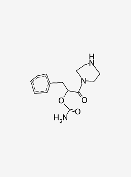 NC(=O)OC(Cc1ccccc1)C(=O)N1CCNCC1